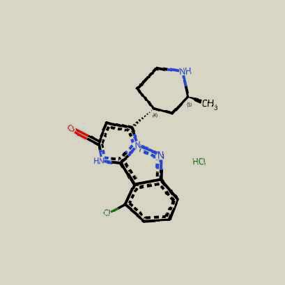 C[C@H]1C[C@H](c2cc(=O)[nH]c3c4c(Cl)cccc4nn23)CCN1.Cl